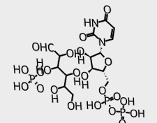 O=CC(O)C(O)C(O)C(O)CO.O=P(O)(O)O.O=c1ccn([C@@H]2O[C@H](COP(=O)(O)OP(=O)(O)O)[C@@H](O)[C@H]2O)c(=O)[nH]1